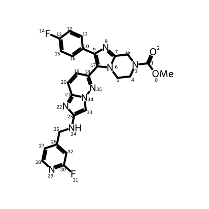 COC(=O)N1CCn2c(nc(-c3ccc(F)cc3)c2-c2ccc3nc(NCc4ccnc(F)c4)cn3n2)C1